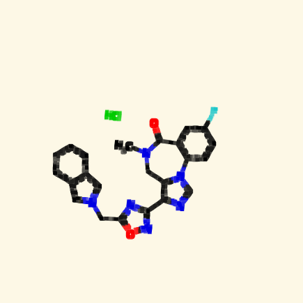 CN1Cc2c(-c3noc(Cn4cc5ccccc5c4)n3)ncn2-c2ccc(F)cc2C1=O.Cl